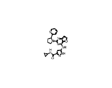 O=C(NC1CC1)c1cc(Nc2nc(N3CCCC3c3ccccn3)nc3ccoc23)[nH]n1